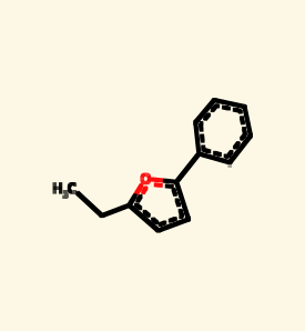 CCc1ccc(-c2[c]cccc2)o1